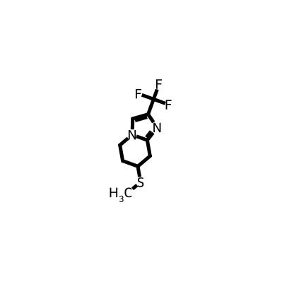 CSC1CCn2cc(C(F)(F)F)nc2C1